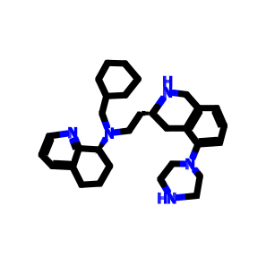 c1cnc2c(c1)CCC[C@@H]2N(CC[C@H]1Cc2c(cccc2N2CCNCC2)CN1)CC1CCCCC1